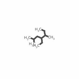 CCC(C)C(CC)CC(C)C